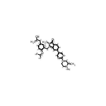 CC(=O)N1CCN(c2ncc(-c3ccc4c(=O)n(C)n(Cc5cc(CC(C)C#N)ccc5OC(F)F)c4c3)cn2)CC1C